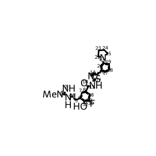 CNC(=N)N/N=C/c1cc(C(=O)Nc2ncc(-c3cccc(N4CCCC4)c3)s2)cc(F)c1O